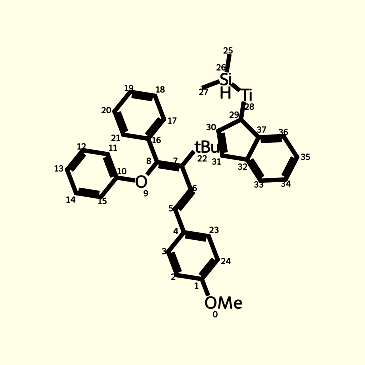 COc1ccc(C=CC(=C(Oc2ccccc2)c2ccccc2)C(C)(C)C)cc1.C[SiH](C)[Ti][CH]1C=Cc2ccccc21